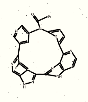 CC(C)C(=O)n1c2cncc(c2)c2ncc3[nH]nc(c4nc5c(ccnc5c5ccc1s5)[nH]4)c3c2F